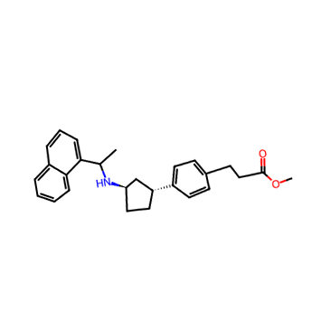 COC(=O)CCc1ccc([C@@H]2CC[C@@H](NC(C)c3cccc4ccccc34)C2)cc1